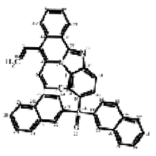 C=Cc1c(/C=C\C)n2c3cc(P(=O)(c4ccc5ccccc5c4)c4ccc5ccccc5c4)ccc3nc2c2ccccc12